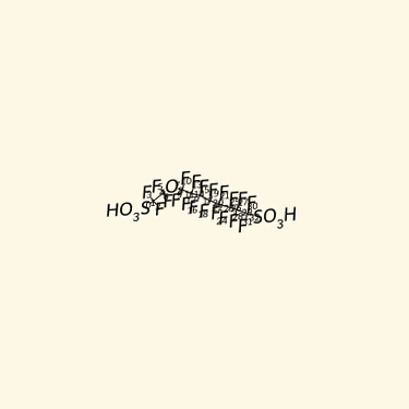 O=S(=O)(O)C(F)(F)C(F)(F)OC(F)(F)C(F)(F)C(F)(F)C(F)(F)C(F)(F)C(F)(F)C(F)(F)C(F)(F)S(=O)(=O)O